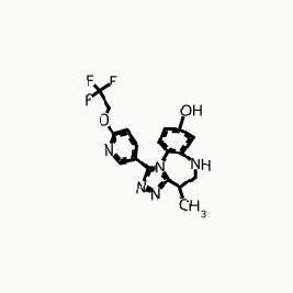 CC1CNc2cc(O)ccc2-n2c(-c3ccc(OCC(F)(F)F)nc3)nnc21